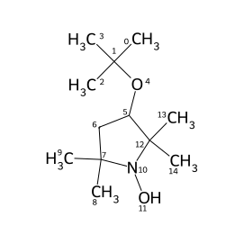 CC(C)(C)OC1CC(C)(C)N(O)C1(C)C